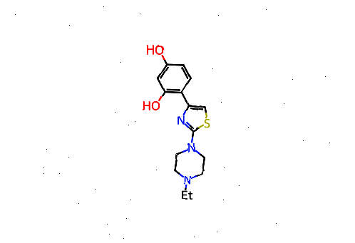 CCN1CCN(c2nc(-c3ccc(O)cc3O)cs2)CC1